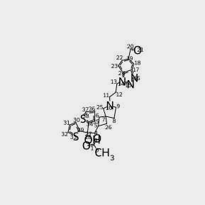 CC(=O)OC(C1CC2(CCN(CCCn3nnc4cc(C=O)ccc43)C2)C1)C(O)(c1cccs1)c1cccs1